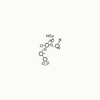 C=C(O)[C@@H]1CCN1Cc1cc(Cl)c(OCc2cccc(-c3ccc4c(c3)OCCO4)c2C)cc1OCc1cncc(C#N)c1